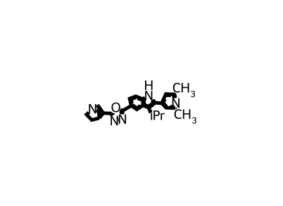 Cc1cc(-c2[nH]c3ccc(-c4nnc(C5CN6CCC5C6)o4)cc3c2C(C)C)cc(C)n1